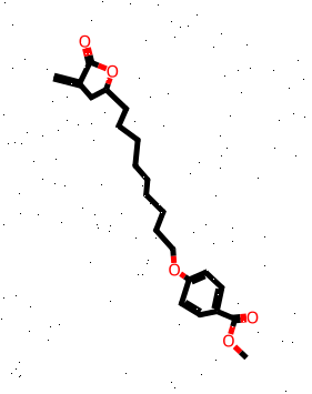 C=C1CC(CCCCCCCCCOc2ccc(C(=O)OC)cc2)OC1=O